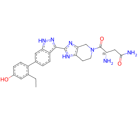 CCc1cc(O)ccc1-c1ccc2c(-c3nc4c([nH]3)CCN(C(=O)[C@@H](N)CC(N)=O)C4)n[nH]c2c1